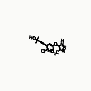 CC(C)(O)C#Cc1cc(Oc2[nH]nnc2C(=O)O)ccc1Cl